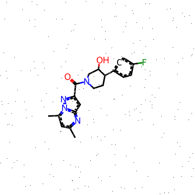 Cc1cc(C)n2nc(C(=O)N3CCC(c4ccc(F)cc4)C(O)C3)cc2n1